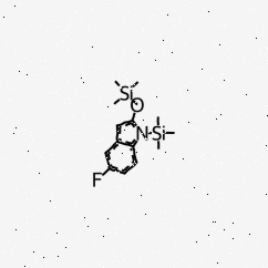 C[Si](C)(C)Oc1cc2cc(F)ccc2n1[Si](C)(C)C